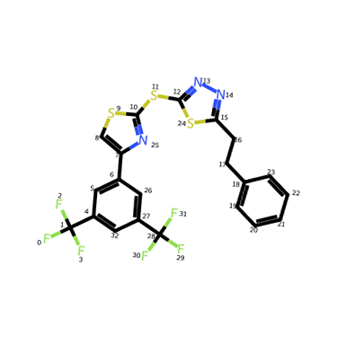 FC(F)(F)c1cc(-c2csc(Sc3nnc(CCc4ccccc4)s3)n2)cc(C(F)(F)F)c1